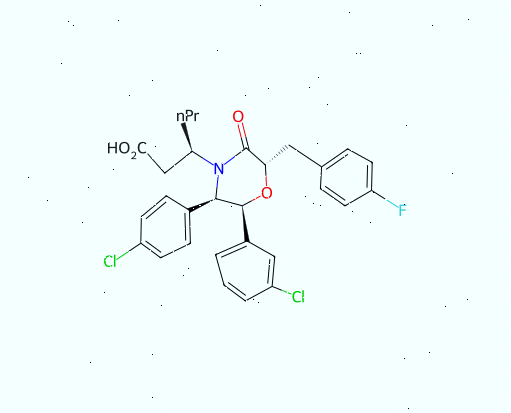 CCC[C@H](CC(=O)O)N1C(=O)[C@H](Cc2ccc(F)cc2)O[C@@H](c2cccc(Cl)c2)[C@H]1c1ccc(Cl)cc1